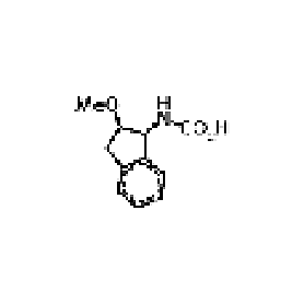 CO[C@@H]1Cc2ccccc2[C@@H]1NC(=O)O